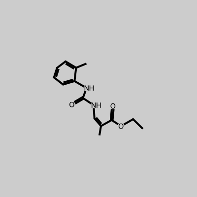 CCOC(=O)C(C)=CNC(=O)Nc1ccccc1C